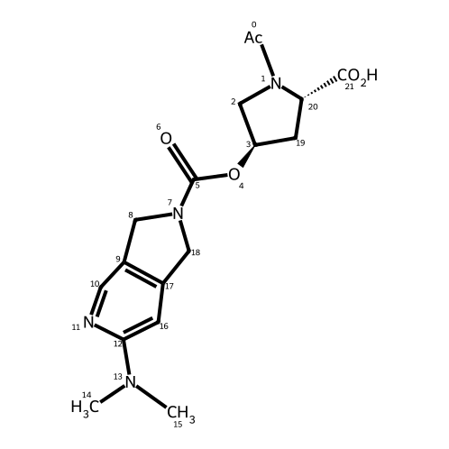 CC(=O)N1C[C@H](OC(=O)N2Cc3cnc(N(C)C)cc3C2)C[C@H]1C(=O)O